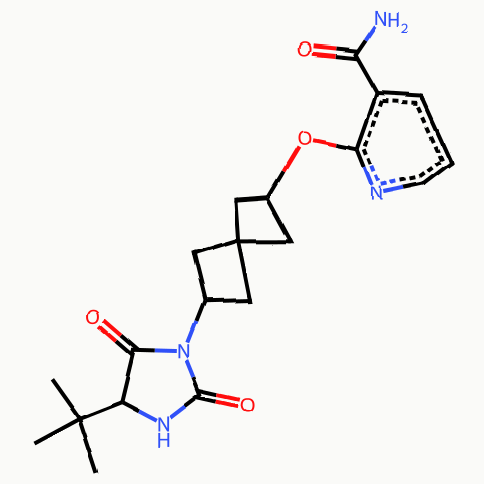 CC(C)(C)C1NC(=O)N(C2CC3(CC(Oc4ncccc4C(N)=O)C3)C2)C1=O